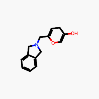 OC1=COC(CN2Cc3ccccc3C2)=CC1